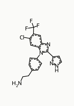 NCCc1ccc(-n2c(-c3cc[nH]n3)nc3cc(C(F)(F)F)c(Cl)cc32)cc1